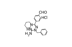 Cl.N=C(N)N(Cc1ccccc1)N=C(c1ccc(C=O)cc1)N1CCCCC1